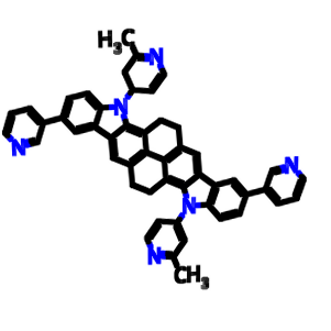 CC1=NC=CC(n2c3ccc(-c4cccnc4)cc3c3cc4c5c(c32)CCc2cc3c6cc(-c7cccnc7)ccc6n(-c6ccnc(C)c6)c3c(c2-5)CC4)C1